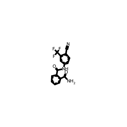 N#Cc1ccc(NC(=O)c2ccccc2C(N)=O)cc1C(F)(F)F